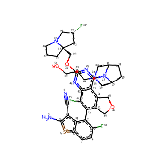 N#Cc1c(N)sc2ccc(F)c(-c3c4c(c5c(N6C7CCC6CN(CCCO)C7)nc(OC[C@@]67CCCN6C[C@H](F)C7)nc5c3F)COC4)c12